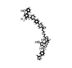 Cc1ncsc1-c1ccc([C@@H](C)NC(=O)[C@H]2C[C@H](O)CN2C(=O)[C@H](NC(=O)CCOCCC(=O)N2CCN(c3ccc(N4CCCC(Oc5cc(-c6ccccc6O)nnc5N)C4)cc3)CC2)C(C)(C)C)cc1